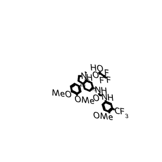 COc1ccc([C@@]23CC[C@@H](NC(=O)Nc4ccc(OC)c(C(F)(F)F)c4)C[C@@H]2N(C)CC3)cc1OC.O=C(O)C(F)(F)F